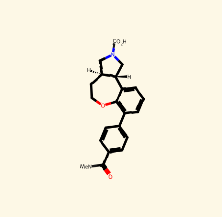 CNC(=O)c1ccc(-c2cccc3c2OCC[C@H]2CN(C(=O)O)C[C@H]32)cc1